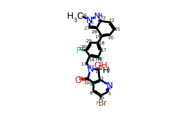 [2H]C1(O)c2ncc(Br)cc2C(=O)N1Cc1c(F)cc(-c2cccc3nn(C)cc23)cc1F